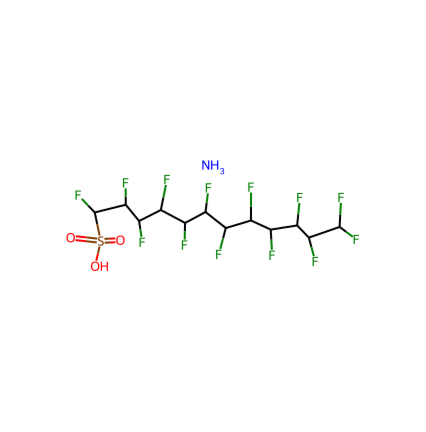 N.O=S(=O)(O)C(F)C(F)C(F)C(F)C(F)C(F)C(F)C(F)C(F)C(F)C(F)C(F)F